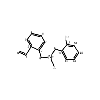 C=Cc1ccccc1CN(C)Cc1ccccc1I